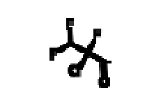 O=[C]C(F)(Cl)C(F)F